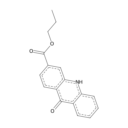 CCCOC(=O)c1ccc2c(=O)c3ccccc3[nH]c2c1